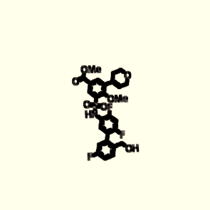 COC(=O)c1cc(C2=CCOCC2)c(OC)c(S(=O)(=O)Nc2cc(-c3cc(F)ccc3CO)c(F)cc2F)c1